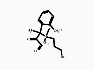 C=CC(=O)C(N)(c1ccccc1C)[N+](C)(C)CCCN.[Cl-]